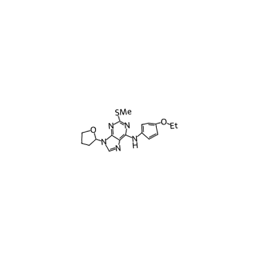 CCOc1ccc(Nc2nc(SC)nc3c2ncn3C2CCCO2)cc1